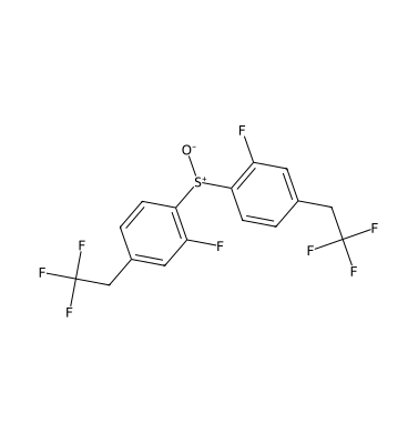 [O-][S+](c1ccc(CC(F)(F)F)cc1F)c1ccc(CC(F)(F)F)cc1F